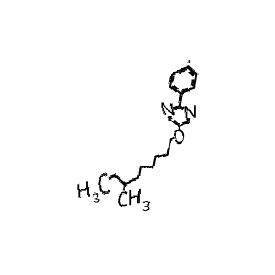 CC[C@H](C)CCCCCCOc1cnc(-c2cc[c]cc2)nc1